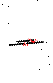 CCCCCCCCCCCCCC(=O)OCC(O)CO.CCCCCCCCCCCCCCCCCC(=O)OC(=O)CCCCCCCCCCCCCCC